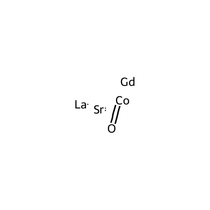 [Gd].[La].[O]=[Co].[Sr]